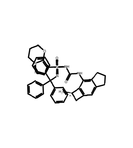 C[C@@H]1Cc2cc3c(c(NC(=O)NS(=O)(=NC(c4ccccc4)(c4ccccc4)c4ccccc4)c4cnn5c4OCCC5)c21)CCC3